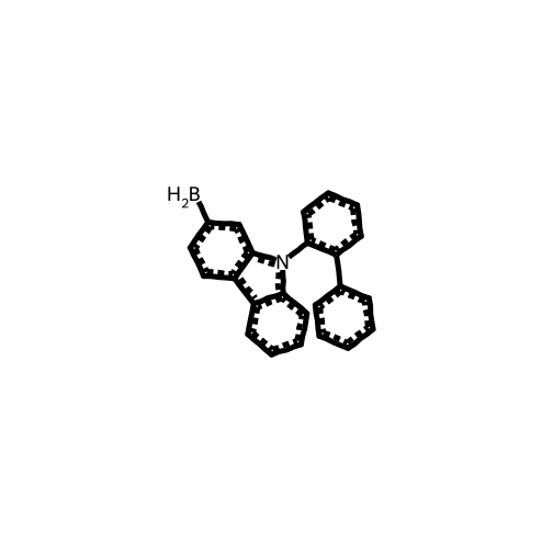 Bc1ccc2c3ccccc3n(-c3ccccc3-c3ccccc3)c2c1